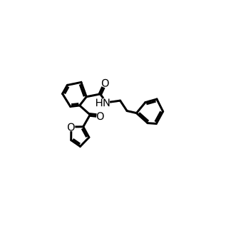 O=C(NCCc1ccccc1)c1ccccc1C(=O)c1ccco1